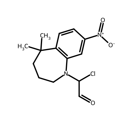 CC1(C)CCCN(C(Cl)C=O)c2cc([N+](=O)[O-])ccc21